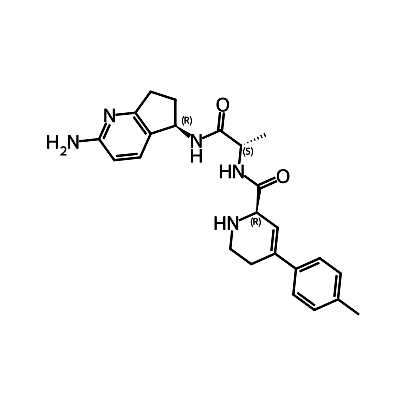 Cc1ccc(C2=C[C@H](C(=O)N[C@@H](C)C(=O)N[C@@H]3CCc4nc(N)ccc43)NCC2)cc1